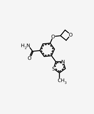 Cc1cnc(-c2cc(OC3COC3)cc(C(N)=O)c2)s1